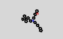 c1ccc(C2(c3ccccc3)c3ccccc3-c3c(-c4cccc(N(c5ccc(-c6ccc(-c7ccc8ccccc8c7)cc6)cc5)c5ccc(-c6ccc7c(c6)oc6ccccc67)cc5)c4)cccc32)cc1